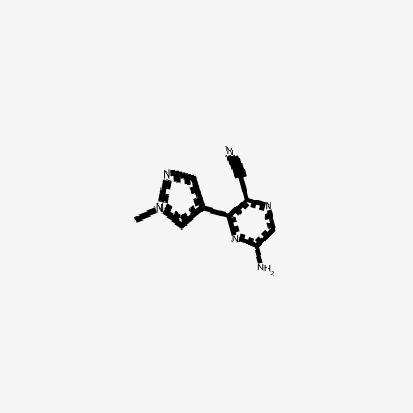 Cn1cc(-c2nc(N)cnc2C#N)cn1